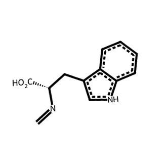 C=N[C@@H](Cc1c[nH]c2ccccc12)C(=O)O